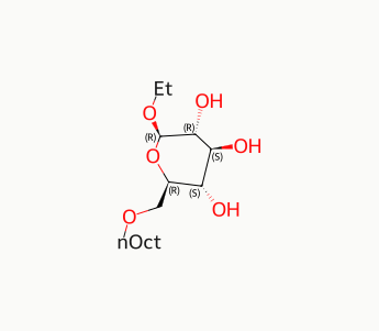 CCCCCCCCOC[C@H]1O[C@@H](OCC)[C@H](O)[C@@H](O)[C@@H]1O